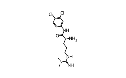 CN(C)C(=N)NCCC[C@H](N)C(=O)Nc1ccc(Cl)c(Cl)c1